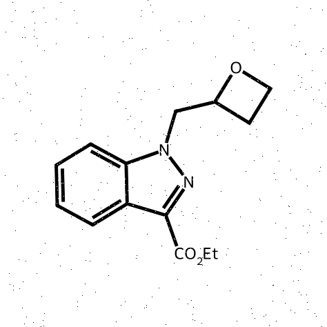 CCOC(=O)c1nn(CC2CCO2)c2ccccc12